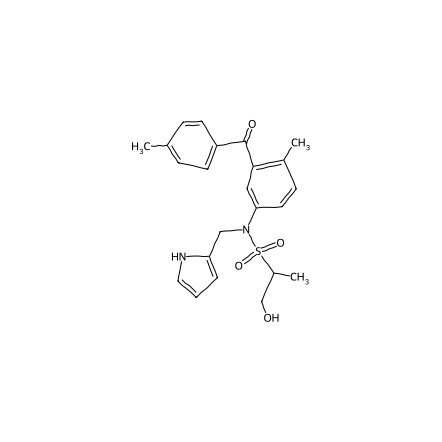 Cc1ccc(C(=O)c2cc(N(Cc3ccc[nH]3)S(=O)(=O)C(C)CO)ccc2C)cc1